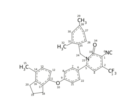 [C-]#[N+]c1c(C(F)(F)F)cc(-c2ccc(Oc3ccc(C)c4c3CCC4)cc2)n(Cc2ccc(C)cc2C)c1=O